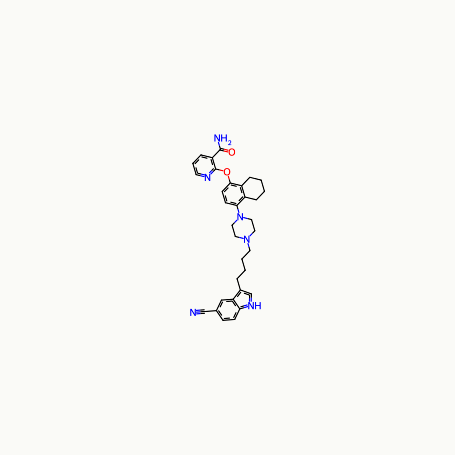 N#Cc1ccc2[nH]cc(CCCCN3CCN(c4ccc(Oc5ncccc5C(N)=O)c5c4CCCC5)CC3)c2c1